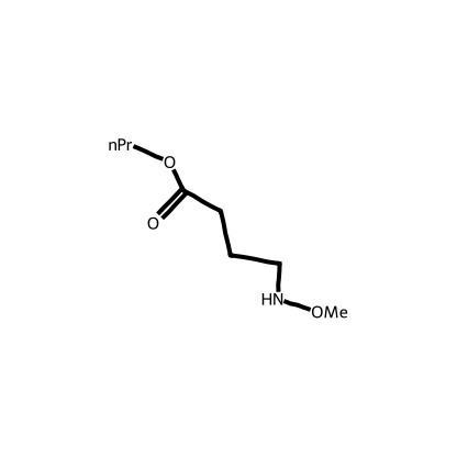 CCCOC(=O)CCCNOC